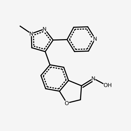 Cn1cc(-c2ccc3c(c2)C(=NO)CO3)c(-c2ccncc2)n1